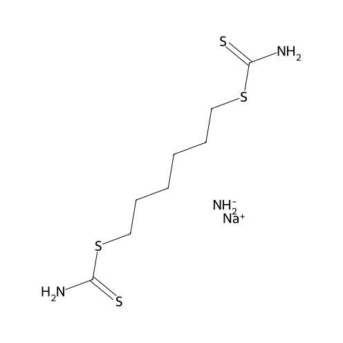 NC(=S)SCCCCCCSC(N)=S.[NH2-].[Na+]